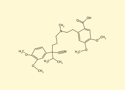 COc1ccc(C(C#N)(CCCN(C)CCc2cc(OC)c(OC)cc2C(=O)O)C(C)C)cc1OC